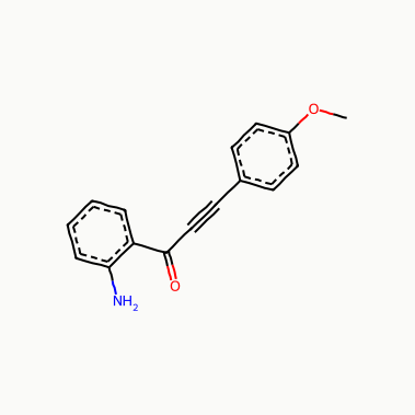 COc1ccc(C#CC(=O)c2ccccc2N)cc1